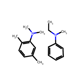 CCN(C)c1ccccc1.Cc1ccc(C)c(N(C)C)c1